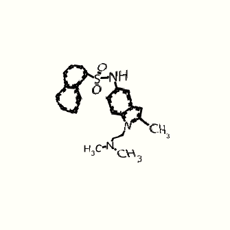 Cc1cc2cc(NS(=O)(=O)c3cccc4ccccc34)ccc2n1CCN(C)C